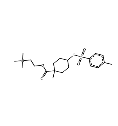 Cc1ccc(S(=O)(=O)OC2CCC(C)(C(=O)OCC[Si](C)(C)C)CC2)cc1